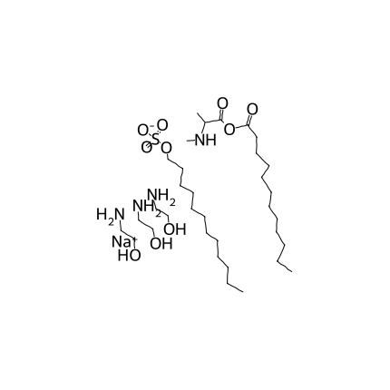 CCCCCCCCCCCC(=O)OC(=O)C(C)NC.CCCCCCCCCCCCOS(=O)(=O)[O-].NCCO.NCCO.NCCO.[Na+]